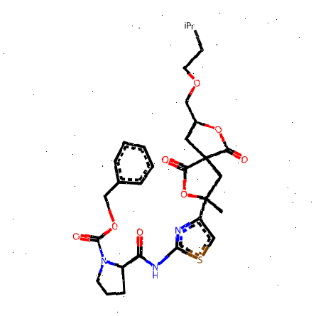 CC(C)CCOCC1CC2(CC(C)(c3csc(NC(=O)C4CCCN4C(=O)OCc4ccccc4)n3)OC2=O)C(=O)O1